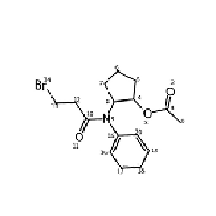 CC(=O)OC1CCCC1N(C(=O)CCBr)c1ccccc1